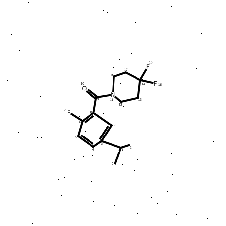 CC(C)c1ccc(F)c(C(=O)N2CCC(F)(F)CC2)c1